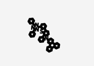 c1ccc(-c2nc(-c3ccccc3)nc(-c3cccc4c3sc3c4ccc4c3c3ccccc3n4-c3ccc4c5ccccc5c5ccccc5c4c3)n2)cc1